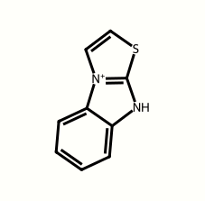 c1ccc2c(c1)[nH]c1scc[n+]12